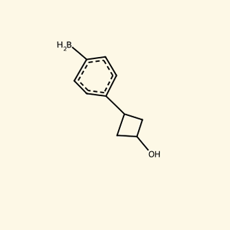 Bc1ccc(C2CC(O)C2)cc1